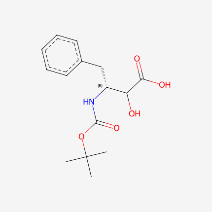 CC(C)(C)OC(=O)N[C@H](Cc1ccccc1)C(O)C(=O)O